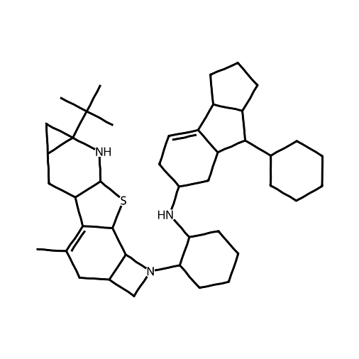 CC1=C2C3CC4CC4(C(C)(C)C)NC3SC2C2C(C1)CN2C1CCCCC1NC1CC=C2C3CCCC3C(C3CCCCC3)C2C1